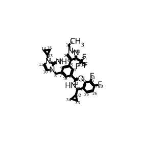 CCn1cc(-c2cc(Cn3ccn(C4CC4)c3=N)cc(C(=O)N[C@H](c3ccc(F)c(F)c3)C3CC3)c2)c(C(F)(F)F)n1